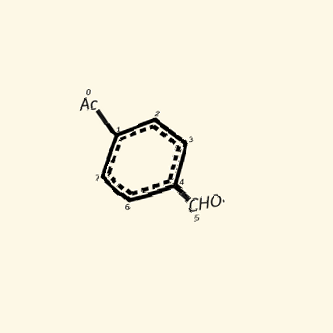 CC(=O)c1ccc([C]=O)cc1